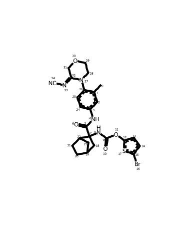 Cc1cc(NC(=O)C2(NC(=O)Oc3ccc(Br)s3)CC3CCC2C3)ccc1N1CCOCC1=NC#N